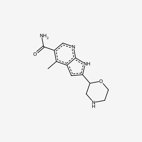 Cc1c(C(N)=O)cnc2[nH]c(C3CNCCO3)cc12